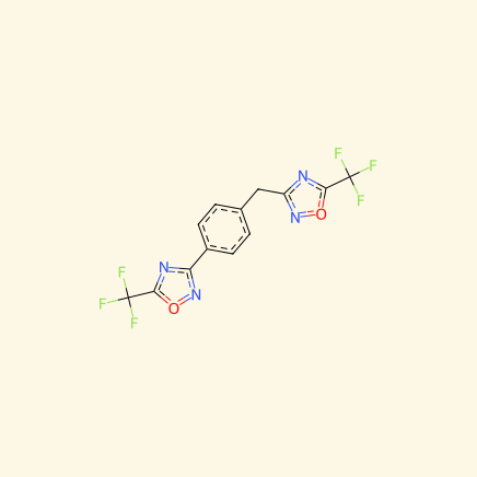 FC(F)(F)c1nc(Cc2ccc(-c3noc(C(F)(F)F)n3)cc2)no1